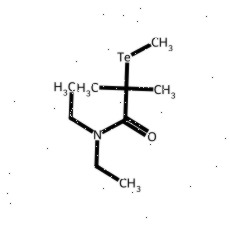 CCN(CC)C(=O)C(C)(C)[Te]C